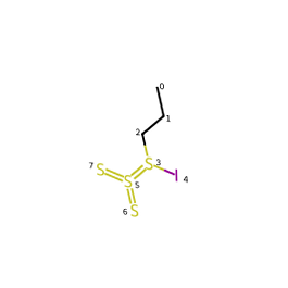 CCCS(I)=S(=S)=S